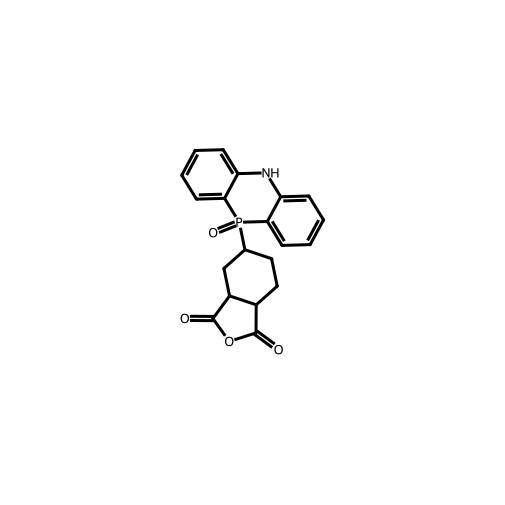 O=C1OC(=O)C2CC(P3(=O)c4ccccc4Nc4ccccc43)CCC12